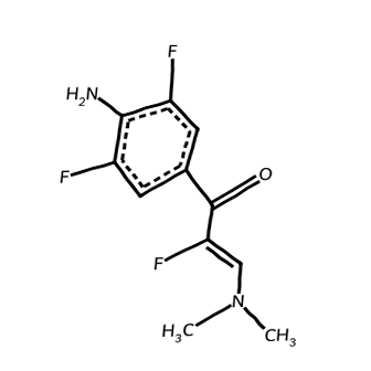 CN(C)/C=C(\F)C(=O)c1cc(F)c(N)c(F)c1